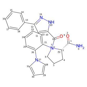 NC(=O)[C@@H]1CCC[N+]1(C(=O)c1cc(-c2ccccc2)n[nH]1)c1ccccc1-n1cccc1